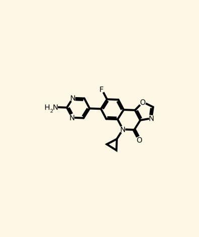 Nc1ncc(-c2cc3c(cc2F)c2ocnc2c(=O)n3C2CC2)cn1